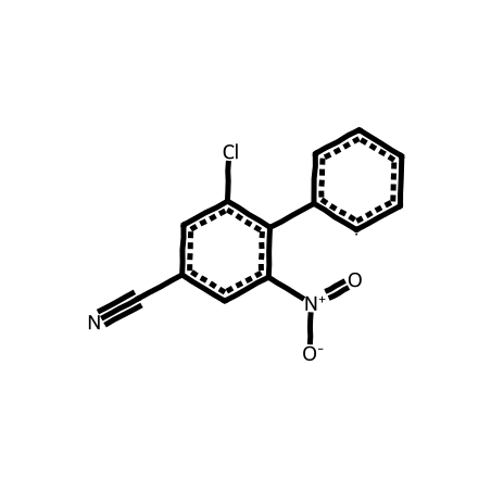 N#Cc1cc(Cl)c(-c2[c]cccc2)c([N+](=O)[O-])c1